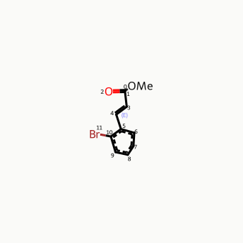 COC(=O)/C=C/c1ccccc1Br